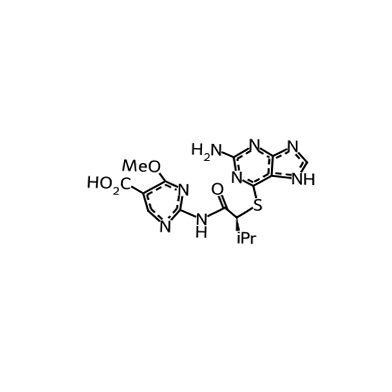 COc1nc(NC(=O)[C@@H](Sc2nc(N)nc3nc[nH]c23)C(C)C)ncc1C(=O)O